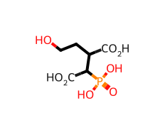 O=C(O)C(CCO)C(C(=O)O)P(=O)(O)O